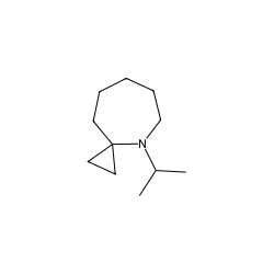 CC(C)N1CCCCCC12CC2